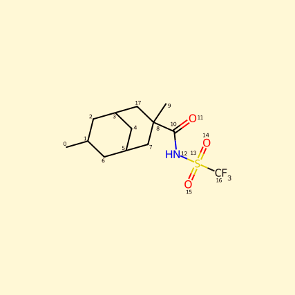 CC1CC2CC(C1)CC(C)(C(=O)NS(=O)(=O)C(F)(F)F)C2